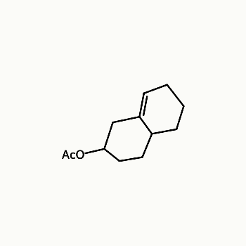 CC(=O)OC1CCC2CCCC=C2C1